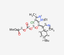 CCn1nc(C)c(Cl)c1/C(OCOC(=O)OCC(=O)OC)=C(\C=N/C)c1ccc(C(C)(C)C)cc1